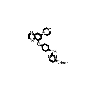 COc1ccnc(NC2CCC(Oc3cc(N4CCOCC4)cc4nccnc34)CC2)n1